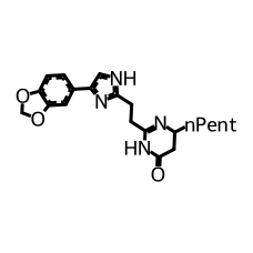 CCCCCC1CC(=O)NC(CCc2nc(-c3ccc4c(c3)OCO4)c[nH]2)=N1